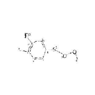 COOSc1ccc(C)c(F)c1